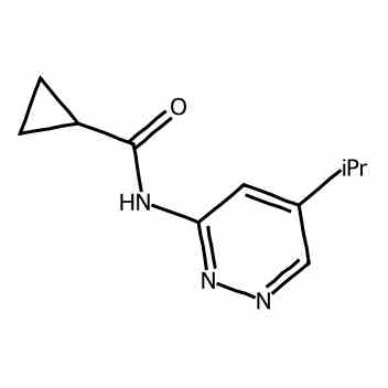 CC(C)c1cnnc(NC(=O)C2CC2)c1